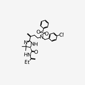 C=C(CC)NC(=O)[C@@H]1NC(C(=C)CCN(Cc2ccc(Cl)cc2)S(=O)(=O)c2ccccc2)=NC1(C)C